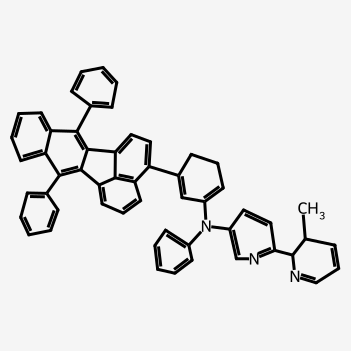 CC1C=CC=NC1c1ccc(N(C2=CCCC(c3ccc4c5c(cccc35)-c3c-4c(-c4ccccc4)c4ccccc4c3-c3ccccc3)=C2)c2ccccc2)cn1